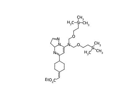 CCOC(=O)C=C1CCC(C2=NC3CC=NN3C(N(COCC[Si](C)(C)C)COCC[Si](C)(C)C)=C2)CC1